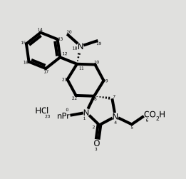 CCCN1C(=O)N(CC(=O)O)C[C@]12CC[C@@](c1ccccc1)(N(C)C)CC2.Cl